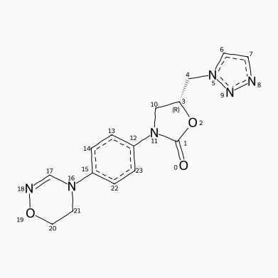 O=C1O[C@@H](Cn2ccnn2)CN1c1ccc(N2C=NOCC2)cc1